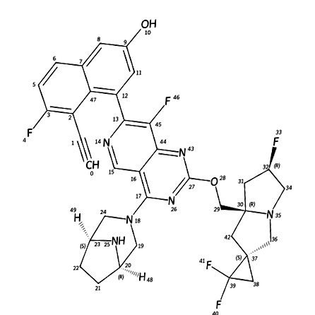 C#Cc1c(F)ccc2cc(O)cc(-c3ncc4c(N5C[C@H]6CC[C@@H](C5)N6)nc(OC[C@@]56C[C@@H](F)CN5C[C@@]5(CC5(F)F)C6)nc4c3F)c12